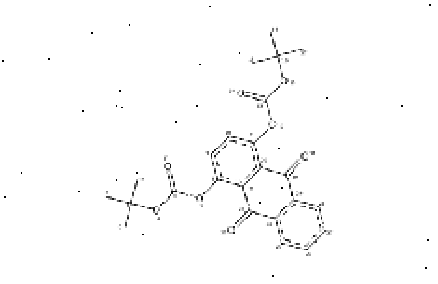 CC(C)(C)OC(=O)Oc1ccc(OC(=O)OC(C)(C)C)c2c1C(=O)c1ccccc1C2=O